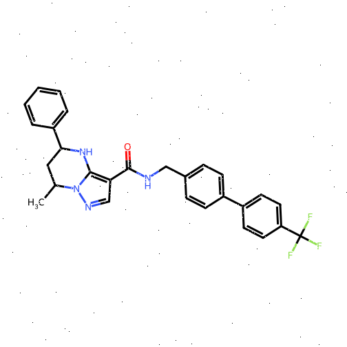 CC1CC(c2ccccc2)Nc2c(C(=O)NCc3ccc(-c4ccc(C(F)(F)F)cc4)cc3)cnn21